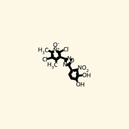 Cc1c(Cl)c(C)[n+]([O-])c(Cl)c1-c1noc(-c2ccc(O)c(O)c2[N+](=O)[O-])n1